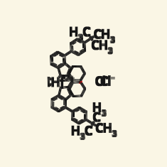 CC(C)(C)c1ccc(-c2cccc3c2C=C(C2CCCCC2)[CH]3[Hf+2]2([CH]3C(C4CCCCC4)=Cc4c(-c5ccc(C(C)(C)C)cc5)cccc43)[CH2][CH2]2)cc1.[Cl-].[Cl-]